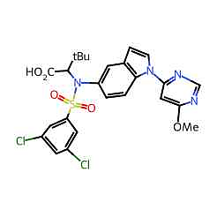 COc1cc(-n2ccc3cc(N(C(C(=O)O)C(C)(C)C)S(=O)(=O)c4cc(Cl)cc(Cl)c4)ccc32)ncn1